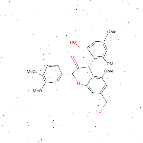 COc1cc(CO)c([C@H]2C(=O)[C@@H](c3ccc(OC)c(OC)c3)Oc3cc(CO)cc(OC)c32)c(OC)c1